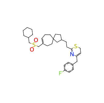 O=S(=O)(CC1=CCCC2(CC1)CCC(CCC1=NC(Cc3ccc(F)cc3)=CCS1)C2)CC1CCCCC1